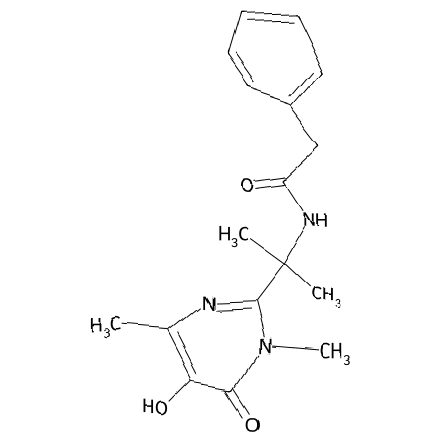 Cc1nc(C(C)(C)NC(=O)Cc2ccccc2)n(C)c(=O)c1O